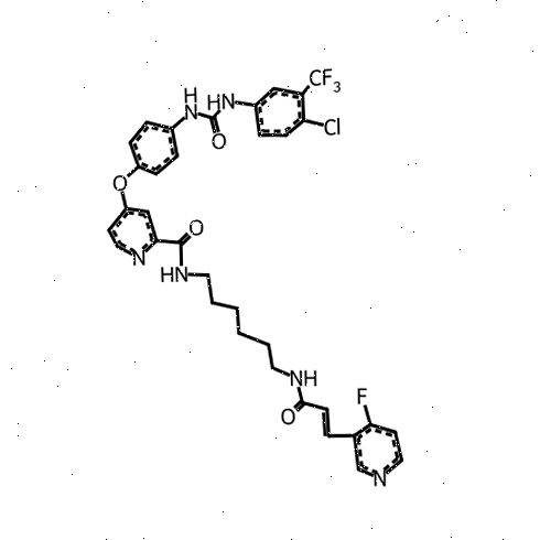 O=C(C=Cc1cnccc1F)NCCCCCCNC(=O)c1cc(Oc2ccc(NC(=O)Nc3ccc(Cl)c(C(F)(F)F)c3)cc2)ccn1